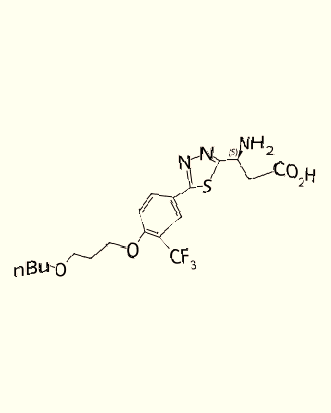 CCCCOCCCOc1ccc(-c2nnc([C@@H](N)CC(=O)O)s2)cc1C(F)(F)F